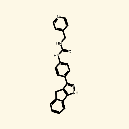 O=C(NCc1ccncc1)Nc1ccc(-c2n[nH]c3c2Cc2ccccc2-3)cc1